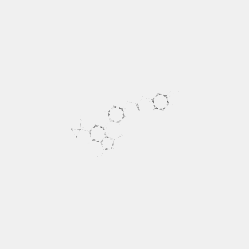 Cn1nc(N)c2c(-c3ccc(NC(=O)Nc4cccc(C(F)(F)F)c4)cc3)cc(C3(N)CC3)nc21